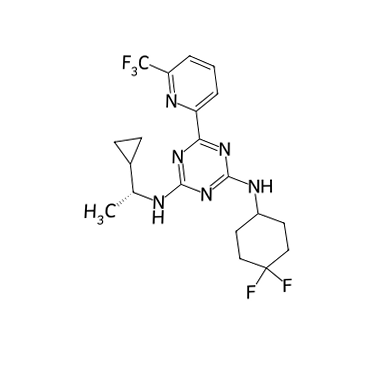 C[C@@H](Nc1nc(NC2CCC(F)(F)CC2)nc(-c2cccc(C(F)(F)F)n2)n1)C1CC1